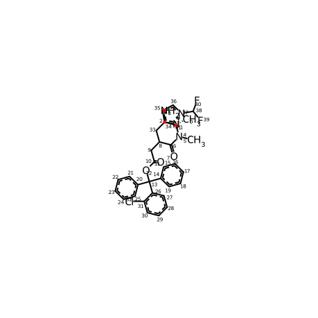 C[C@@H](CN)N(C)C(=O)C(CC(=O)OC(c1ccccc1)(c1ccccc1)c1ccccc1Cl)Cc1ccn(C(F)F)n1